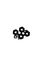 FC(F)(F)c1ccccc1-c1cccc(-c2ccccc2)c1-c1ccccc1C(F)(F)F